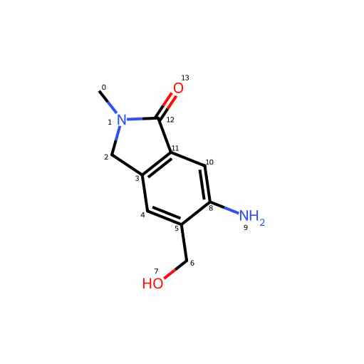 CN1Cc2cc(CO)c(N)cc2C1=O